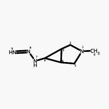 CN1CC2C(C1)C2NN=N